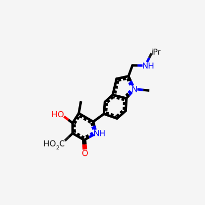 Cc1c(-c2ccc3c(c2)cc(CNC(C)C)n3C)[nH]c(=O)c(C(=O)O)c1O